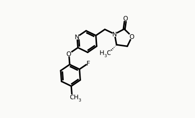 Cc1ccc(Oc2ccc(CN3C(=O)OC[C@@H]3C)cn2)c(F)c1